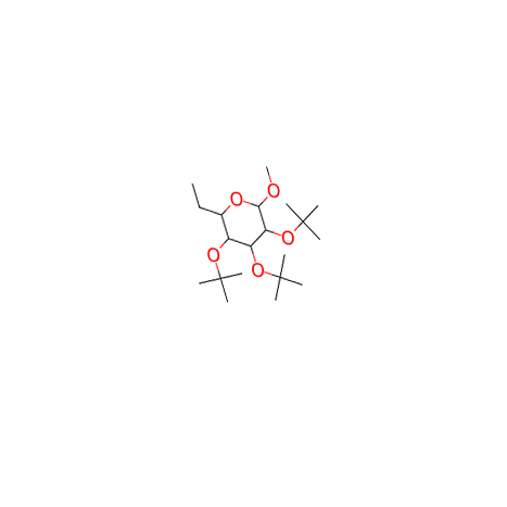 CCC1OC(OC)C(OC(C)(C)C)C(OC(C)(C)C)C1OC(C)(C)C